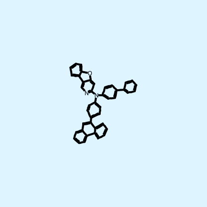 c1ccc(-c2ccc(N(c3ccc(-c4cc5ccccc5c5ccccc45)cc3)c3cc4oc5ccccc5c4cn3)cc2)cc1